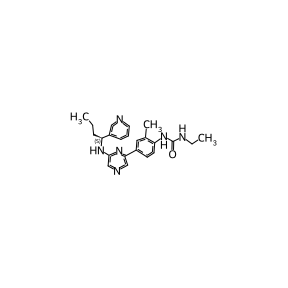 CCC[C@H](Nc1cncc(-c2ccc(NC(=O)NCC)c(C)c2)n1)c1cccnc1